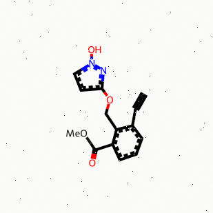 C#Cc1cccc(C(=O)OC)c1COc1ccn(O)n1